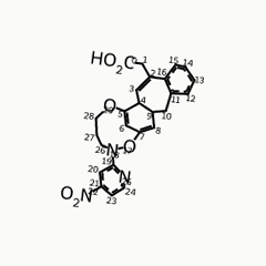 O=C(O)CC1=CC2C3=CC(=CC2Cc2ccccc21)ON(c1cc([N+](=O)[O-])ccn1)CCCO3